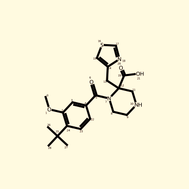 COc1cc(C(=O)N2CCNCC2(Cc2cscn2)C(=O)O)ccc1C(C)(C)C